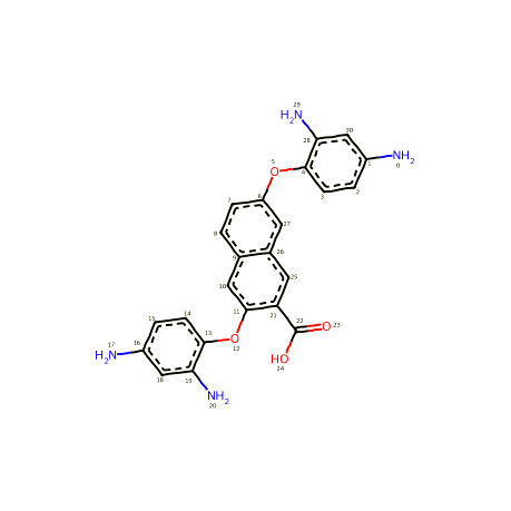 Nc1ccc(Oc2ccc3cc(Oc4ccc(N)cc4N)c(C(=O)O)cc3c2)c(N)c1